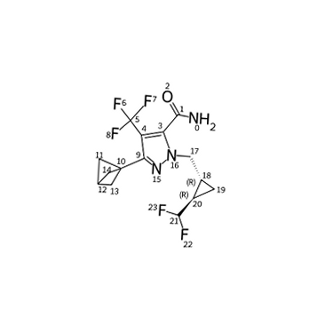 NC(=O)c1c(C(F)(F)F)c(C23CC(C2)C3)nn1C[C@@H]1C[C@H]1C(F)F